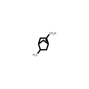 CC1CC2=C(C(=O)O)CC1C2